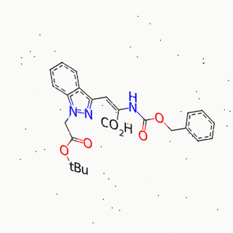 CC(C)(C)OC(=O)Cn1nc(/C=C(/NC(=O)OCc2ccccc2)C(=O)O)c2ccccc21